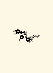 CC(C)(c1ccc(Cl)c(Cl)c1)c1cnc(SCc2ccc(F)c(C(=O)NCC(=O)O)c2)n1-c1ccc(F)cc1